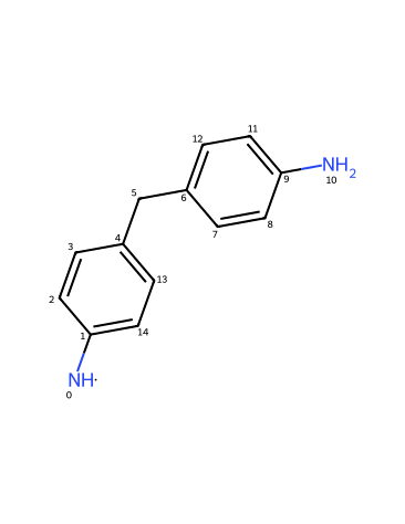 [NH]c1ccc(Cc2ccc(N)cc2)cc1